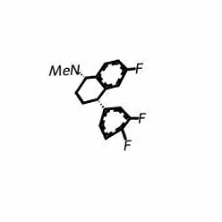 CN[C@H]1CC[C@@H](c2ccc(F)c(F)c2)c2cc(F)ccc21